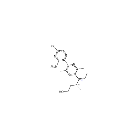 C/C=C(\c1cc(C)c(-c2ccc(C(C)C)nc2NC)nc1C)[C@H](C)CCO